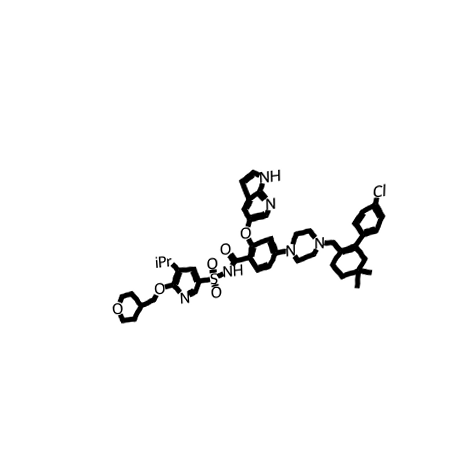 CC(C)c1cc(S(=O)(=O)NC(=O)c2ccc(N3CCN(CC4=C(c5ccc(Cl)cc5)CC(C)(C)CC4)CC3)cc2Oc2cnc3[nH]ccc3c2)cnc1OCC1CCOCC1